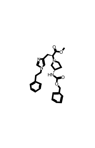 COC(=O)[C@H](Cc1cn(CCc2ccccc2)cn1)N1CC[C@H](NC(=O)OCc2ccccc2)C1